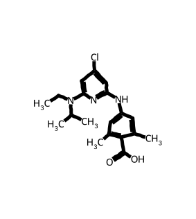 CCN(c1cc(Cl)cc(Nc2cc(C)c(C(=O)O)c(C)c2)n1)C(C)C